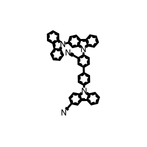 N#Cc1ccc2c(c1)c1ccccc1n2-c1ccc(-c2ccc(-n3c4ccccc4c4ccc(-n5c6ccccc6c6ccccc65)cc43)c(C#N)c2)cc1